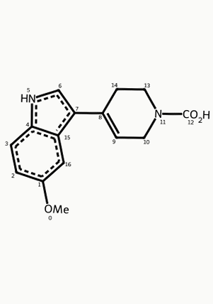 COc1ccc2[nH]cc(C3=CCN(C(=O)O)CC3)c2c1